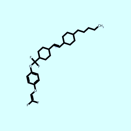 CCCCCC1CCC(/C=C/C2CCC(C(F)(F)Oc3ccc(OC=C(F)F)cc3)CC2)CC1